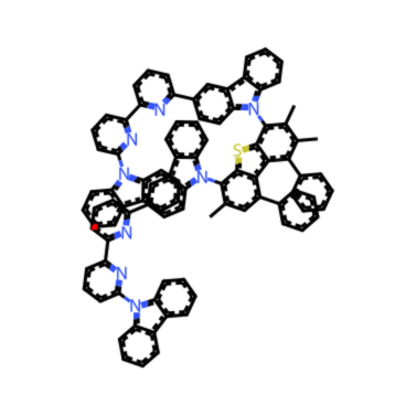 Cc1cc(-c2ccccc2)c2c(sc3c(-n4c5ccccc5c5cc(-c6cccc(-c7cccc(-n8c9ccccc9c9ccccc98)n7)n6)ccc54)c(C)c(C)c(-c4ccccc4)c32)c1-n1c2ccccc2c2cc(-c3cccc(-c4cccc(-n5c6ccccc6c6ccccc65)n4)n3)ccc21